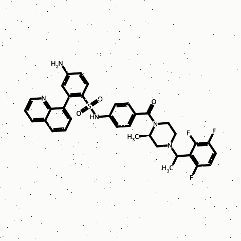 CC(c1c(F)ccc(F)c1F)N1CCN(C(=O)c2ccc(NS(=O)(=O)c3ccc(N)cc3-c3cccc4cccnc34)cc2)[C@H](C)C1